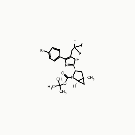 CC(C)(C)OC(=O)N1[C@H](c2nc(-c3ccc(Br)cc3)c(CC(F)(F)F)[nH]2)C[C@@]2(C)C[C@@H]12